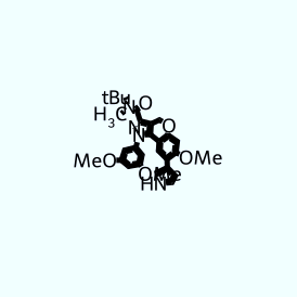 COc1cc(OC)cc(-n2nc(C(=O)N(C)C(C)(C)C)c3c2-c2cc(-c4cc[nH]c4)c(OC)cc2OC3)c1